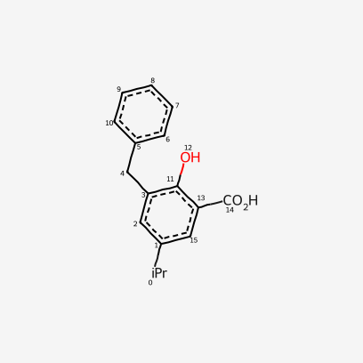 CC(C)c1cc(Cc2ccccc2)c(O)c(C(=O)O)c1